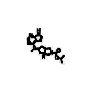 CC(C)OC(=O)N1CC2C[C@H](N(C)c3ncnc4[nH]ccc34)C[C@H]2C1